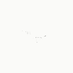 CC(=O)N[C@H]1C[C@@H]1C(F)(F)F